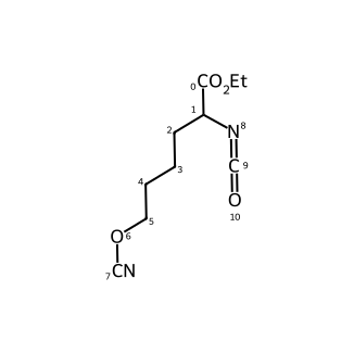 CCOC(=O)C(CCCCOC#N)N=C=O